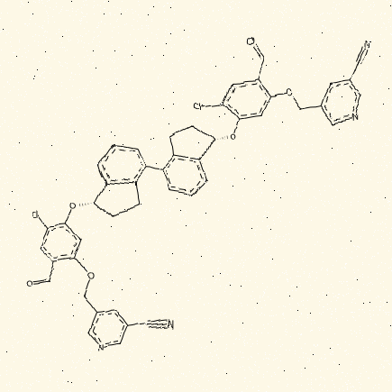 N#Cc1cncc(COc2cc(O[C@H]3CCc4c(-c5cccc6c5CC[C@@H]6Oc5cc(OCc6cncc(C#N)c6)c(C=O)cc5Cl)cccc43)c(Cl)cc2C=O)c1